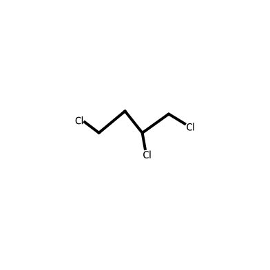 ClCCC(Cl)CCl